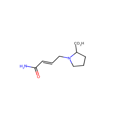 NC(=O)/C=C/CN1CCCC1C(=O)O